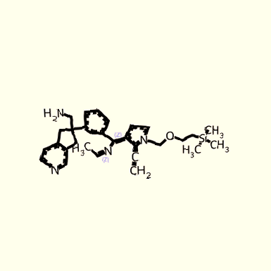 C=C=c1/c(=C(\N=C/C)c2cccc(C3(CN)Cc4ccncc4C3)c2)ccn1COCC[Si](C)(C)C